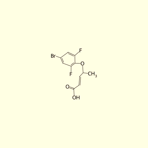 CC(/C=C/C(=O)O)Oc1c(F)cc(Br)cc1F